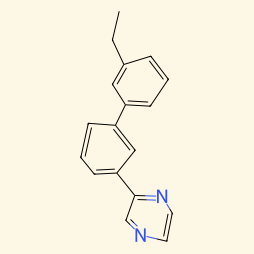 CCc1cccc(-c2cccc(-c3cnccn3)c2)c1